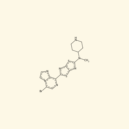 CN(c1nc2sc(-c3ncc(Br)n4ccnc34)nc2s1)C1CCNCC1